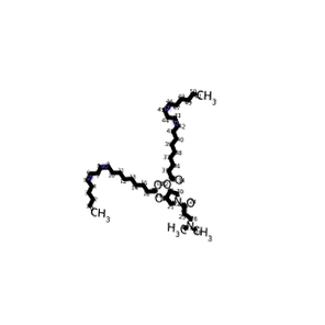 CCCCC/C=C\C/C=C\CCCCCCCC(=O)OC1CN(C(=O)CCN(C)C)CC1OC(=O)CCCCCCC/C=C\C/C=C\CCCCC